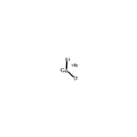 Br.C[CH2][Ga][CH2]C